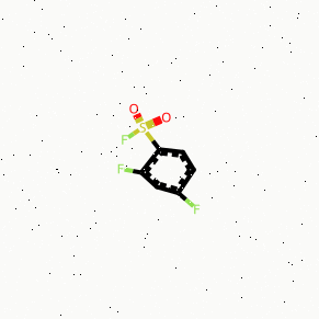 O=S(=O)(F)c1ccc(F)cc1F